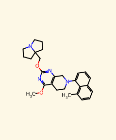 COc1nc(OCC23CCCN2CCC3)nc2c1CCN(c1cccc3cccc(C)c13)C2